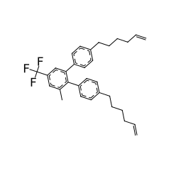 C=CCCCCc1ccc(-c2cc(C(F)(F)F)cc(C)c2-c2ccc(CCCCC=C)cc2)cc1